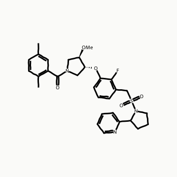 CO[C@@H]1CN(C(=O)c2cc(C)ccc2C)C[C@H]1Oc1cccc(CS(=O)(=O)N2CCCC2c2ccccn2)c1F